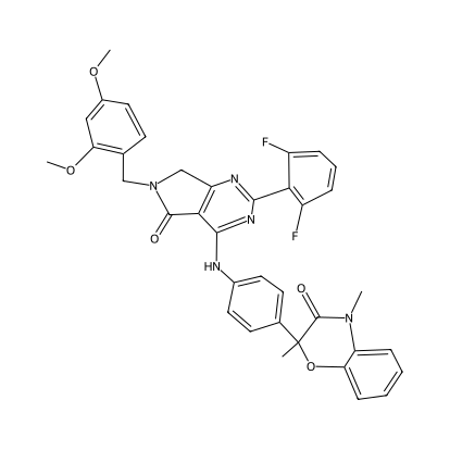 COc1ccc(CN2Cc3nc(-c4c(F)cccc4F)nc(Nc4ccc(C5(C)Oc6ccccc6N(C)C5=O)cc4)c3C2=O)c(OC)c1